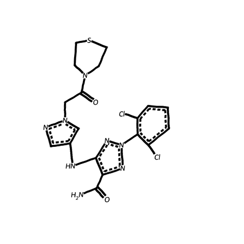 NC(=O)c1nn(-c2c(Cl)cccc2Cl)nc1Nc1cnn(CC(=O)N2CCSCC2)c1